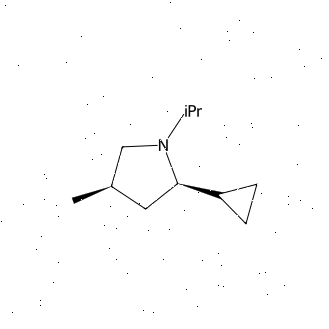 CC(C)N1C[C@H](C)C[C@@H]1C1CC1